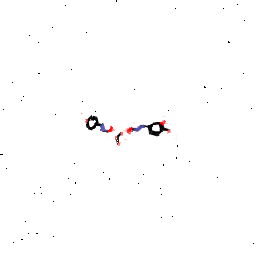 COc1ccc(/C=C/C(=O)OC(CO)COC(=O)/C=C/c2ccc(CO)c(OC)c2)cc1